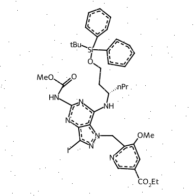 CCC[C@@H](CCO[Si](c1ccccc1)(c1ccccc1)C(C)(C)C)Nc1nc(NC(=O)OC)nc2c(I)nn(Cc3ncc(C(=O)OCC)cc3OC)c12